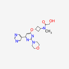 CN(C(=O)CO)[C@H]1C[C@H](Oc2cc(-c3cncnc3)nc(N3CCOCC3)n2)C1